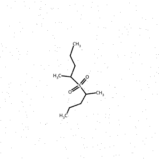 CCCC(C)S(=O)(=O)C(C)CCC